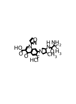 CC(N)C(=O)N[C@@H]1CN(c2cc3c(cc2F)c(=O)c(C(=O)O)cn3-c2ccon2)C[C@@H]1C.Cl